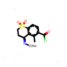 CO/N=C1/CCS(=O)(=O)c2ccc(C(=O)Cl)c(C)c21